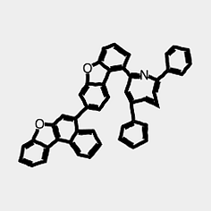 C1=C/C(c2ccccc2)=C\C(c2cccc3oc4cc(-c5cc6oc7ccccc7c6c6ccccc56)ccc4c23)=N/C(c2ccccc2)=C/1